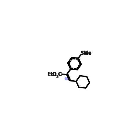 CCOC(=O)/C(=C/C1CCCCC1)c1ccc(SC)cc1